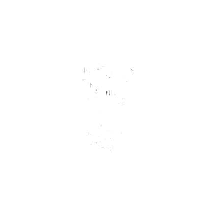 Cc1c(C[C@H](C)C(=O)OC(C)(C)C)ccc(Cl)c1NC(=O)[C@H](c1ccc(Cl)cc1)[C@@H](C)C(F)(F)F